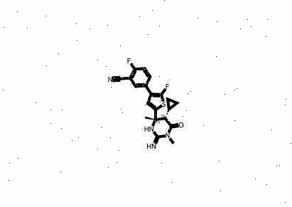 CN1C(=N)N[C@](C)(c2cc(-c3ccc(F)c(C#N)c3)c(F)s2)[C@H](C2CC2)C1=O